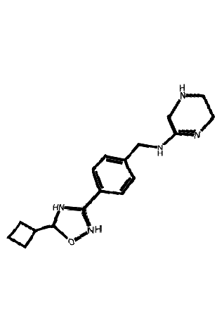 c1cc(C2NOC(C3CCC3)N2)ccc1CNC1=NCCNC1